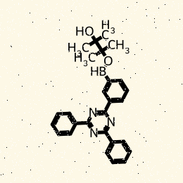 CC(C)(O)C(C)(C)OBc1cccc(-c2nc(-c3ccccc3)nc(-c3ccccc3)n2)c1